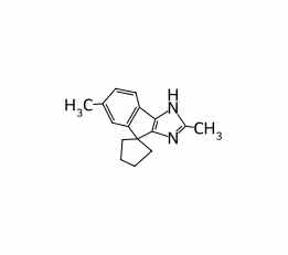 Cc1ccc2c(c1)C1(CCCC1)c1nc(C)[nH]c1-2